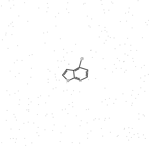 Clc1ccnc2occc12